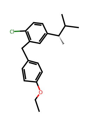 CCOc1ccc(Cc2cc([C@@H](C)C(C)C)ccc2Cl)cc1